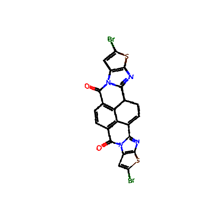 O=C1c2ccc3c(=O)n4c(nc5sc(Br)cc54)c4c3c2C(CC=4)c2nc3sc(Br)cc3n21